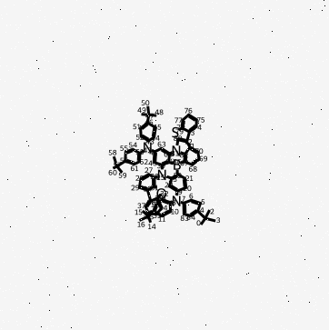 CC(C)(C)c1ccc(N(c2ccc(C(C)(C)C)cc2)c2ccc3c(c2)N(c2cccc4c2oc2ccccc24)c2cc(N(c4ccc(C(C)(C)C)cc4)c4ccc(C(C)(C)C)cc4)cc4c2B3c2cccc3c5c6ccccc6sc5n-4c23)cc1